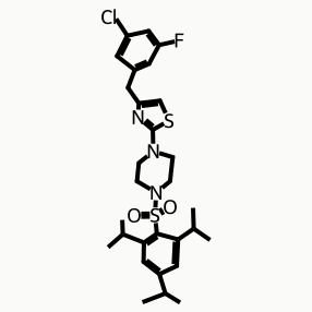 CC(C)c1cc(C(C)C)c(S(=O)(=O)N2CCN(c3nc(Cc4cc(F)cc(Cl)c4)cs3)CC2)c(C(C)C)c1